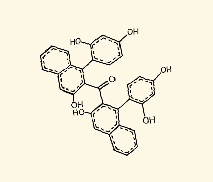 O=C(c1c(O)cc2ccccc2c1-c1ccc(O)cc1O)c1c(O)cc2ccccc2c1-c1ccc(O)cc1O